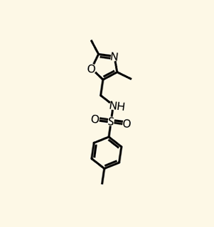 Cc1ccc(S(=O)(=O)NCc2oc(C)nc2C)cc1